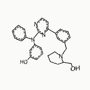 OCC1CCCCN1Cc1cccc(-c2ccnc(N(c3ccccc3)c3cccc(O)c3)n2)c1